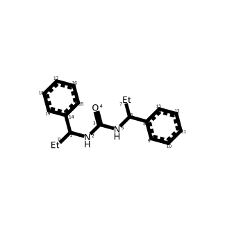 CCC(NC(=O)NC(CC)c1ccccc1)c1ccccc1